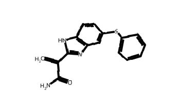 C=C(C(N)=O)c1nc2cc(Sc3ccccc3)ccc2[nH]1